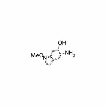 COn1ccc2cc(N)c(O)cc21